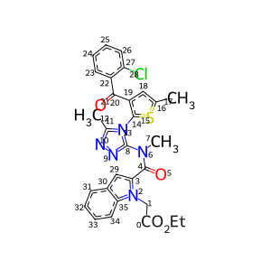 CCOC(=O)Cn1c(C(=O)N(C)c2nnc(C)n2-c2sc(C)cc2C(=O)c2ccccc2Cl)cc2ccccc21